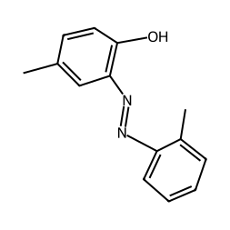 Cc1ccc(O)c(N=Nc2ccccc2C)c1